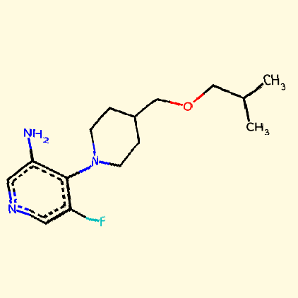 CC(C)COCC1CCN(c2c(N)cncc2F)CC1